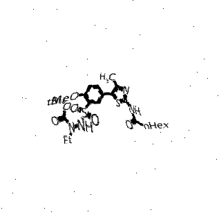 CCCCCCC(=O)Nc1nc(C)c(-c2ccc(OC)c(S(=O)(=O)NN(CC)C(=O)OC(C)(C)C)c2)s1